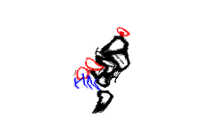 COC(=O)C1(NC2CCCCC2)CC[C@H]2[C@@H]3CCC4CC(=O)CC[C@]4(C)[C@@H]3CC[C@@]21C